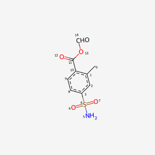 Cc1cc(S(N)(=O)=O)ccc1C(=O)OC=O